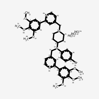 COc1cc(-c2cc(CN3CCC(N(Cc4ccnc(-c5cc(OC)c(OC)c(OC)c5)c4)c4ccc(Br)cc4)CC3)ccn2)cc(OC)c1OC.Cl.Cl.Cl